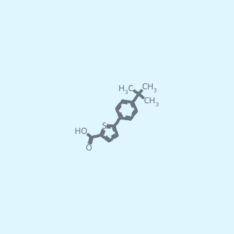 CC(C)(C)c1ccc(-c2ccc(C(=O)O)s2)cc1